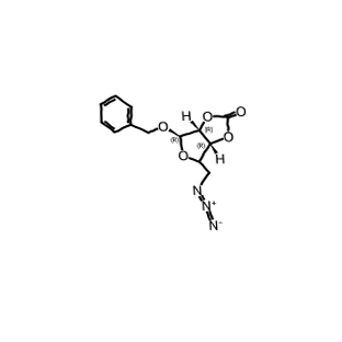 [N-]=[N+]=NCC1O[C@@H](OCc2ccccc2)[C@@H]2OC(=O)O[C@H]12